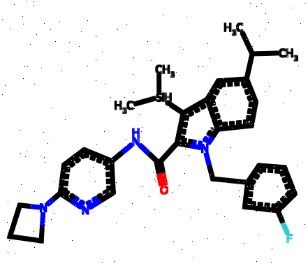 CC(C)c1ccc2c(c1)c([SiH](C)C)c(C(=O)Nc1ccc(N3CCC3)nc1)n2Cc1cccc(F)c1